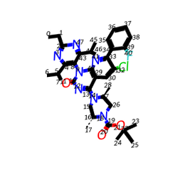 CCc1nc(C(C)C)c(-n2c(=O)nc(N3C[C@@H](C)N(C(=O)OC(C)(C)C)C[C@@H]3C)c3cc(Cl)c(-c4ccccc4F)nc32)c(C(C)C)n1